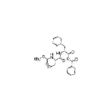 CC(C)C[C@H](NC(=O)OC(C)(C)C)C(=O)N[C@@H](Cc1ccccc1)C(=O)OC(=O)c1ccccc1